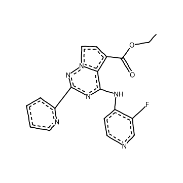 CCOC(=O)c1ccn2nc(-c3ccccn3)nc(Nc3ccncc3F)c12